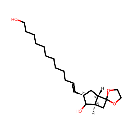 OCCCCCCCCCCC=C[C@H]1C[C@H]2[C@@H](CC23OCCO3)C1O